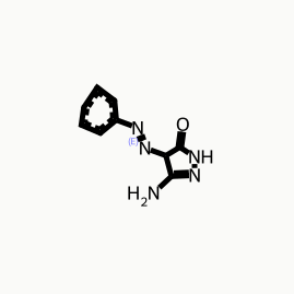 NC1=NNC(=O)C1/N=N/c1ccccc1